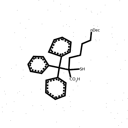 CCCCCCCCCCCCCCC(S)(C(=O)O)C(c1ccccc1)(c1ccccc1)c1ccccc1